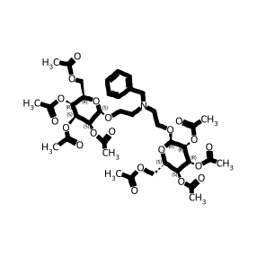 CC(=O)OC[C@@H]1O[C@@H](OCCN(CCO[C@H]2O[C@H](COC(C)=O)[C@@H](OC(C)=O)[C@H](OC(C)=O)[C@@H]2OC(C)=O)Cc2ccccc2)[C@H](OC(C)=O)[C@H](OC(C)=O)[C@H]1OC(C)=O